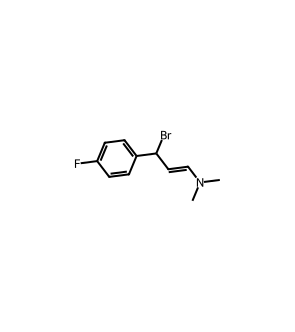 CN(C)C=CC(Br)c1ccc(F)cc1